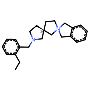 CCc1ccccc1CN1CC[C@]2(CC[N+]3(Cc4ccccc4C3)C2)C1